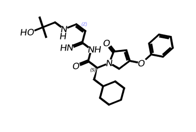 CC(C)(O)CN/C=C\C(=N)NC(=O)[C@H](CC1CCCCC1)N1CC(Oc2ccccc2)=CC1=O